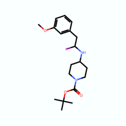 COc1cccc(CC(I)NC2CCN(C(=O)OC(C)(C)C)CC2)c1